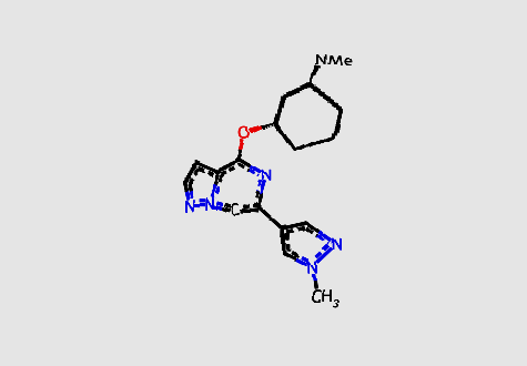 CN[C@H]1CCC[C@@H](Oc2nc(-c3cnn(C)c3)cn3nccc23)C1